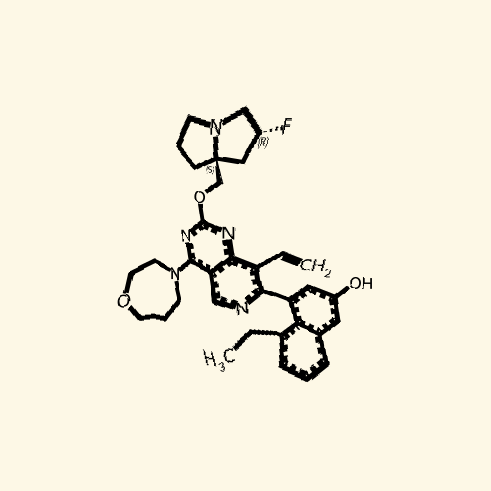 C=Cc1c(-c2cc(O)cc3cccc(CC)c23)ncc2c(N3CCCOCC3)nc(OC[C@@]34CCCN3C[C@H](F)C4)nc12